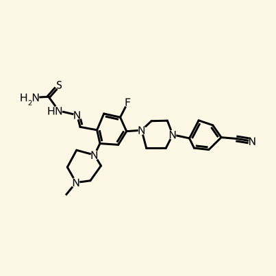 CN1CCN(c2cc(N3CCN(c4ccc(C#N)cc4)CC3)c(F)cc2C=NNC(N)=S)CC1